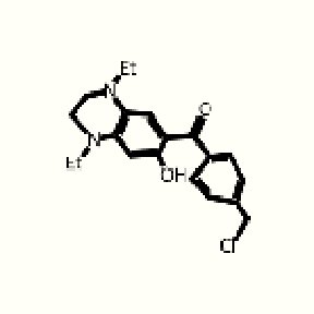 CCN1CCN(CC)c2cc(C(=O)c3ccc(CCl)cc3)c(O)cc21